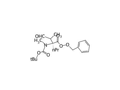 CCC[C@@](C(=O)OOCc1ccccc1)(C(C)C=O)N(C)C(=O)OC(C)(C)C